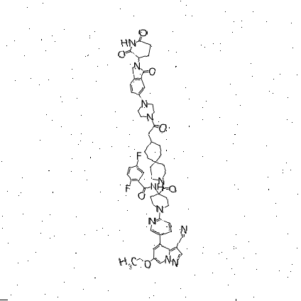 CCOc1cc(-c2ccc(N3CCC(NC(=O)c4cc(F)ccc4F)(C(=O)N4CCC5(CCC(CC(=O)N6CCN(c7ccc8c(c7)C(=O)N(C7CCC(=O)NC7=O)C8)CC6)CC5)CC4)CC3)nc2)c2c(C#N)cnn2c1